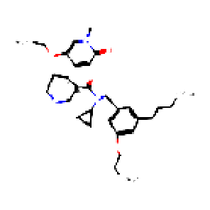 COCCCc1cc(CN(C(=O)[C@H]2CNCC[C@@H]2c2cc(=O)n(C)cc2OCOC)C2CC2)cc(OCCOC)c1